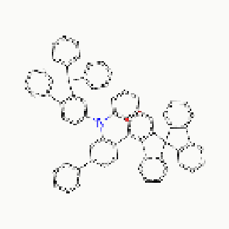 c1ccc(-c2ccc(-c3cccc4c3-c3ccccc3C43c4ccccc4-c4ccccc43)c(N(c3ccccc3)c3ccc4c(c3)C(c3ccccc3)(c3ccccc3)c3ccccc3-4)c2)cc1